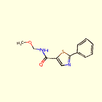 COCNC(=O)c1cnc(-c2ccccc2)s1